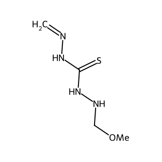 C=NNC(=S)NNCOC